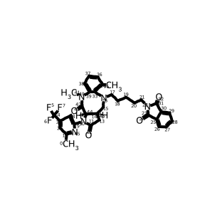 Cc1cc(C(F)(F)F)cc(N2C(=O)C[C@@H]3CN(CCCCCN4C(=O)c5ccccc5C4=O)c4c(C)cccc4N(C)C(=O)[C@H]32)n1